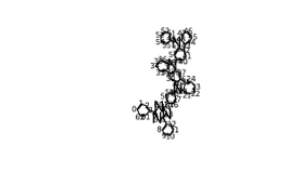 c1ccc(-c2nc(-c3ccccc3)nc(-c3ccc(-n4c5ccccc5c5cc6c(cc54)c4ccccc4n6-c4ccc5c6ccccc6n(-c6ccccc6)c5c4)cc3)n2)cc1